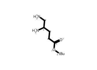 CC(C)(C)OC(=O)CCC(N)CN